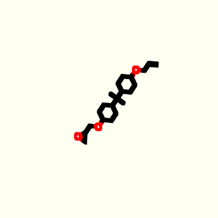 C=CCOC1CCC(C(C)(C)C2CCC(OCC3CO3)CC2)CC1